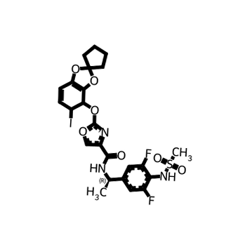 C[C@@H](NC(=O)c1coc(OC2C3=C(C=CC2I)OC2(CCCC2)O3)n1)c1cc(F)c(NS(C)(=O)=O)c(F)c1